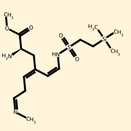 C/N=C\C/C=C(\C=C/NS(=O)(=O)CC[Si](C)(C)C)C[C@@H](N)C(=O)OC